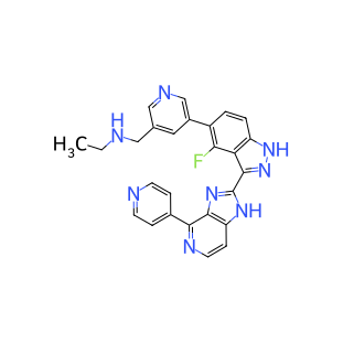 CCNCc1cncc(-c2ccc3[nH]nc(-c4nc5c(-c6ccncc6)nccc5[nH]4)c3c2F)c1